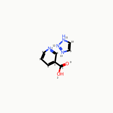 O=C(O)c1cccnc1.c1c[nH]nn1